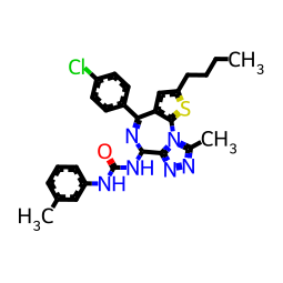 CCCCc1cc2c(s1)-n1c(C)nnc1C(NC(=O)Nc1cccc(C)c1)N=C2c1ccc(Cl)cc1